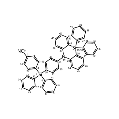 N#Cc1ccc([Si](c2ccccc2)(c2ccccc2)c2ccc(N3c4ccccc4[Si](c4ccccc4)(c4ccccc4)c4ccccc43)cc2)cc1